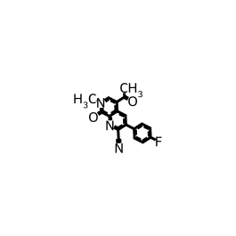 CC(=O)c1cn(C)c(=O)c2nc(C#N)c(-c3ccc(F)cc3)cc12